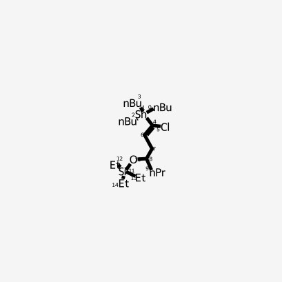 CCC[CH2][Sn]([CH2]CCC)([CH2]CCC)[C](Cl)=CCC(CCC)O[Si](CC)(CC)CC